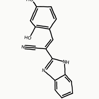 N#CC(=Cc1ccc(O)cc1O)c1nc2ccccc2[nH]1